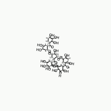 O=C(c1cc(O)c(O)cc1OOc1cc(C(=O)c2cc(O)c(O)c(O)c2O)c(OOc2cc(C(=O)c3cc(O)c(O)c(O)c3O)c(O)cc2O)cc1O)c1ccc(O)c(O)c1O